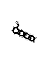 O=Cc1cccc2c1C1CC2C2C3CC(C4C5C=CC(C5)C34)C12